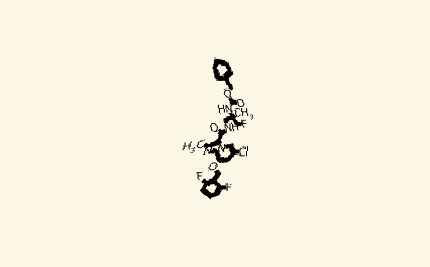 Cc1nc2c(OCc3c(F)cccc3F)cc(Cl)cn2c1C(=O)NCC(C)(CF)NC(=O)OCc1ccccc1